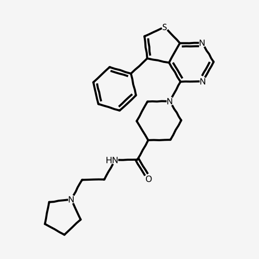 O=C(NCCN1CCCC1)C1CCN(c2ncnc3scc(-c4ccccc4)c23)CC1